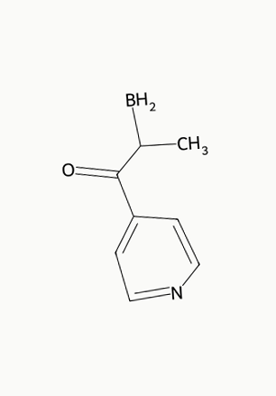 BC(C)C(=O)c1ccncc1